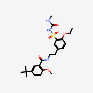 CCOc1ccc(CCNC(=O)c2cc(C(C)(C)C)ccc2OC)cc1S(=O)(=O)NC(=O)NC